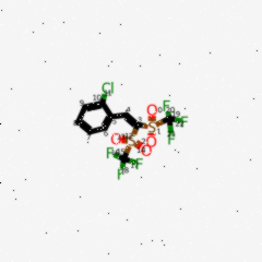 O=S(=O)(C(=Cc1ccccc1Cl)S(=O)(=O)C(F)(F)F)C(F)(F)F